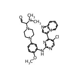 COc1ccc(N2CCN(C(C=O)N(C)C)CC2)cc1Nc1ncc(Cl)c(-c2cnc3ccccn23)n1